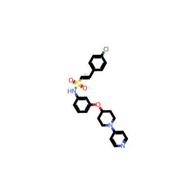 O=S(=O)(/C=C/c1ccc(Cl)cc1)Nc1cccc(OC2CCN(c3ccncc3)CC2)c1